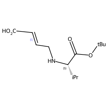 CC(C)[C@H](NC/C=C/C(=O)O)C(=O)OC(C)(C)C